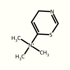 C[N+](C)(C)C1=CCN=CS1